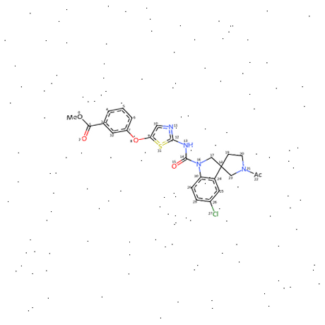 COC(=O)c1cccc(Oc2cnc(NC(=O)N3CC4(CCN(C(C)=O)C4)c4cc(Cl)ccc43)s2)c1